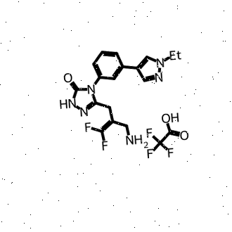 CCn1cc(-c2cccc(-n3c(CC(CN)=C(F)F)n[nH]c3=O)c2)cn1.O=C(O)C(F)(F)F